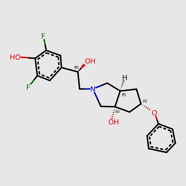 Oc1c(F)cc([C@@H](O)CN2C[C@H]3C[C@H](Oc4ccccc4)C[C@@]3(O)C2)cc1F